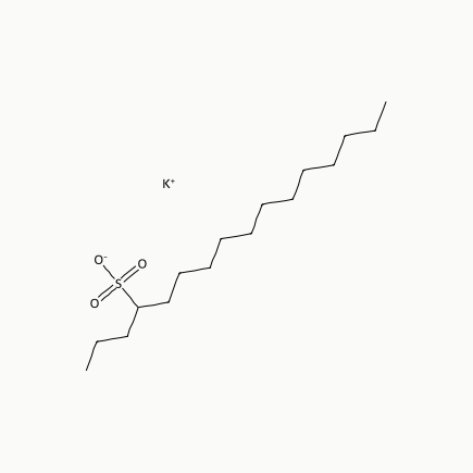 CCCCCCCCCCCCC(CCC)S(=O)(=O)[O-].[K+]